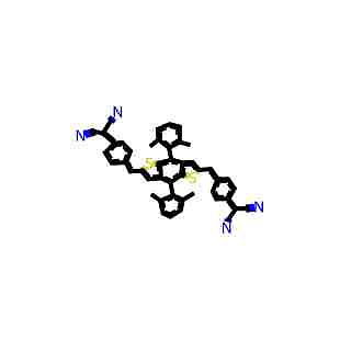 Cc1cccc(C)c1-c1c2cc(C=c3ccc(=C(C#N)C#N)cc3)sc2c(-c2c(C)cccc2C)c2cc(C=c3ccc(=C(C#N)C#N)cc3)sc12